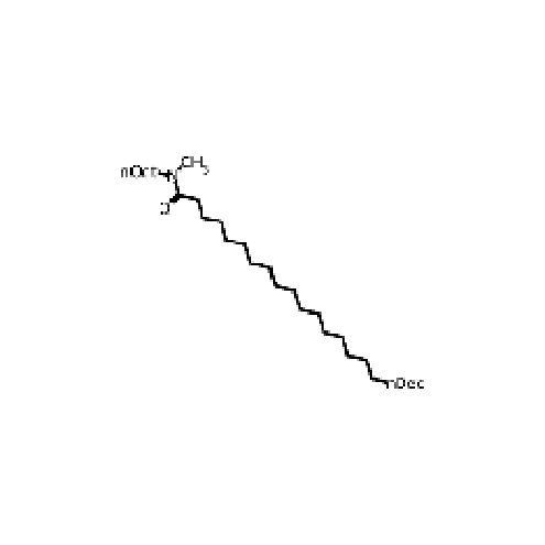 CCCCCCCCCCCCCCCCCCCCCCCCCCC(=O)N(C)CCCCCCCC